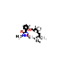 CNC(=O)/C(=N\OC)c1ccccc1OC/C=C(\C)CCC=C(C)C